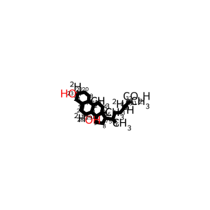 [2H]C([2H])(CCC(C)C1CCC2C3C(CC[C@]12C)[C@@]1(C)CC[C@]([2H])(O)CC1=C[C@@]3([2H])O)C(C)C(=O)O